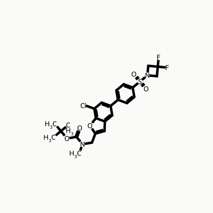 CN(Cc1cc2cc(-c3ccc(S(=O)(=O)N4CC(F)(F)C4)cc3)cc(Cl)c2o1)C(=O)OC(C)(C)C